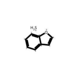 S.c1ccc2occc2c1